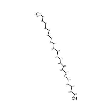 CCCCCCCCCCCCCCCCCCOCCCCCO